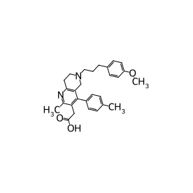 COc1ccc(CCCN2CCc3nc(C)c(CC(=O)O)c(-c4ccc(C)cc4)c3C2)cc1